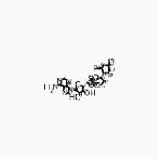 Nc1ncnc2c1ncn2[C@@H]1O[C@H](COP2(=S)OCC[C@@H](c3ccc(Cl)cc3F)O2)[C@@H](O)[C@H]1O